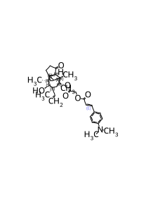 C=C[C@]1(C)C[C@@H](OC(=O)COC(=O)/C=C/c2ccc(N(C)C)cc2)[C@]2(C)[C@H](C)CC[C@]3(CCC(=O)[C@H]32)[C@@H](C)[C@@H]1O